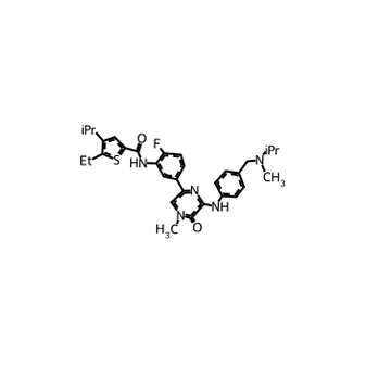 CCc1sc(C(=O)Nc2cc(-c3cn(C)c(=O)c(Nc4ccc(CN(C)C(C)C)cc4)n3)ccc2F)cc1C(C)C